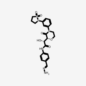 NN=Cc1ccc(NC(=O)[C@H](O)[C@H]2OCCN(c3cccc(N4CCCS4(=O)=O)c3)C2=O)cc1